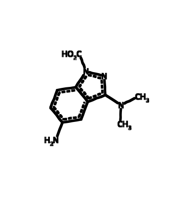 CN(C)c1nn(C(=O)O)c2ccc(N)cc12